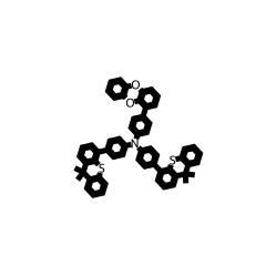 CC1(C)c2ccccc2Sc2c(-c3ccc(N(c4ccc(-c5cccc6c5Oc5ccccc5O6)cc4)c4ccc(-c5cccc6c5Sc5ccccc5C6(C)C)cc4)cc3)cccc21